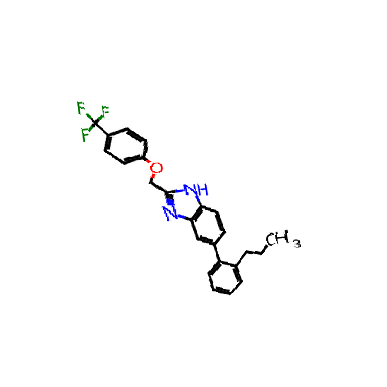 CCCc1ccccc1-c1ccc2[nH]c(COc3ccc(C(F)(F)F)cc3)nc2c1